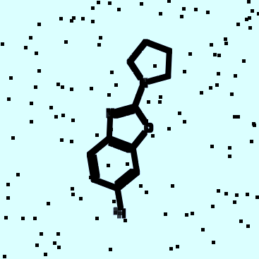 [2H]c1ccc2nc(N3CCCC3)oc2c1